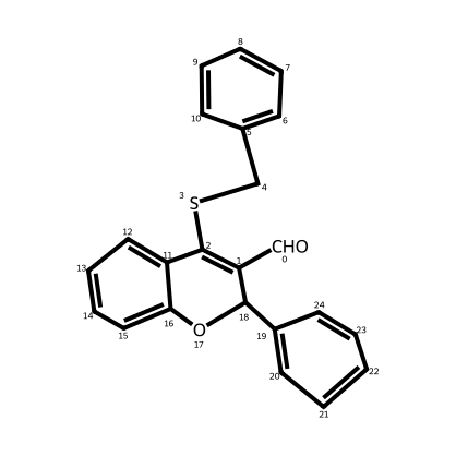 O=CC1=C(SCc2ccccc2)c2ccccc2OC1c1ccccc1